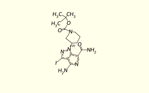 CC(C)(C)OC(=O)N1CCC[C@@H](n2nc(I)c3c(N)ncc(C(N)=O)c32)C1